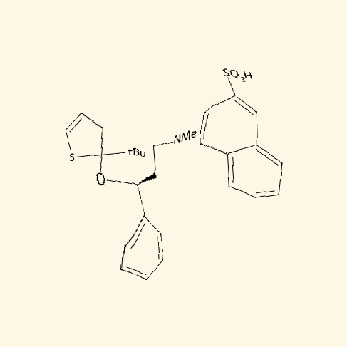 CNCC[C@H](OC1(C(C)(C)C)CC=CS1)c1ccccc1.O=S(=O)(O)c1ccc2ccccc2c1